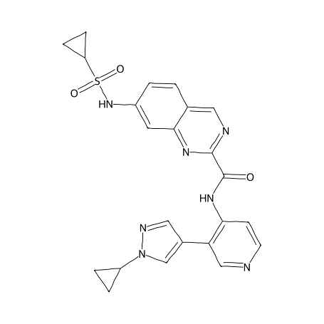 O=C(Nc1ccncc1-c1cnn(C2CC2)c1)c1ncc2ccc(NS(=O)(=O)C3CC3)cc2n1